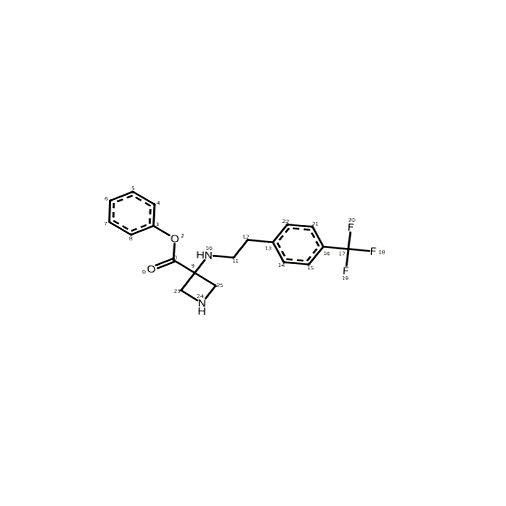 O=C(Oc1ccccc1)C1(NCCc2ccc(C(F)(F)F)cc2)CNC1